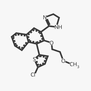 COCCOc1c(C2=NCCN2)cc2ccccc2c1-c1ccc(Cl)s1